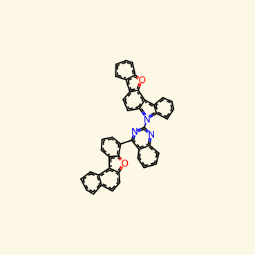 c1ccc2c(c1)ccc1oc3c(-c4nc(-n5c6ccccc6c6c7oc8ccccc8c7ccc65)nc5ccccc45)cccc3c12